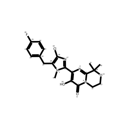 Cn1c(-c2nc3n(c(=O)c2O)CCOC3(C)C)nc(Cl)c1Cc1ccc(F)cc1